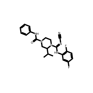 CC(C)C1CN(C(=O)Nc2ccccc2)CCN1/C(=N\C#N)Nc1cc(F)ccc1F